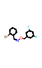 Fc1cc(F)cc(CO/N=[C]\c2ccccc2Br)c1